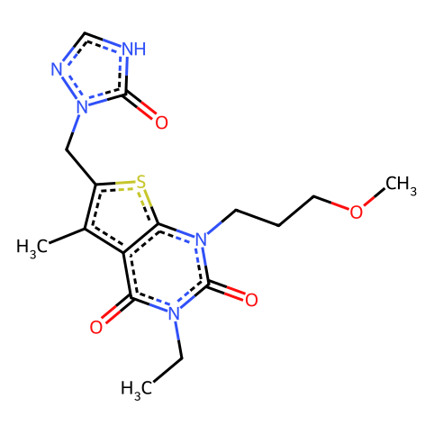 CCn1c(=O)c2c(C)c(Cn3nc[nH]c3=O)sc2n(CCCOC)c1=O